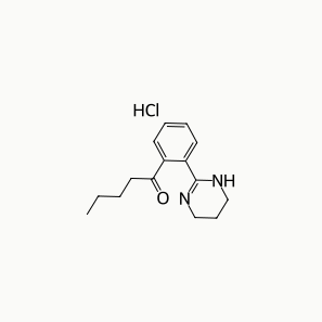 CCCCC(=O)c1ccccc1C1=NCCCN1.Cl